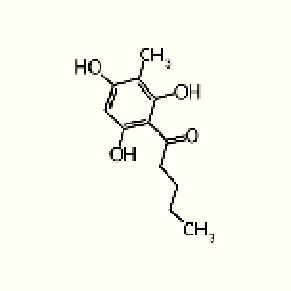 CCCCC(=O)c1c(O)cc(O)c(C)c1O